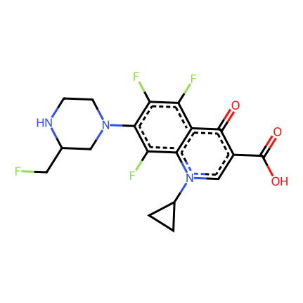 O=C(O)c1cn(C2CC2)c2c(F)c(N3CCNC(CF)C3)c(F)c(F)c2c1=O